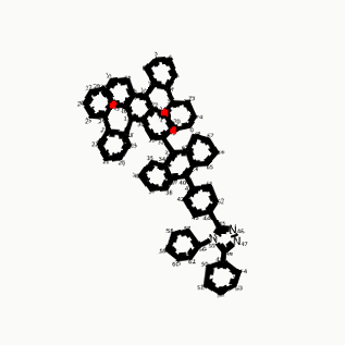 c1ccc(-c2ccccc2-c2c3ccccc3c(-c3ccccc3-c3ccccc3)c3cc(-c4c5ccccc5c(-c5ccc(-c6nnc(-c7ccccc7)n6-c6ccccc6)cc5)c5ccccc45)ccc23)cc1